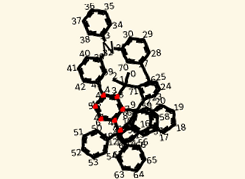 CC1(C)c2ccccc2C2(c3ccccc3-c3ccccc32)c2cccc(-c3cccc(N(c4ccccc4)c4cccc(-c5ccc(C(c6ccccc6)(c6ccccc6)c6ccccc6)cc5)c4)c3)c21